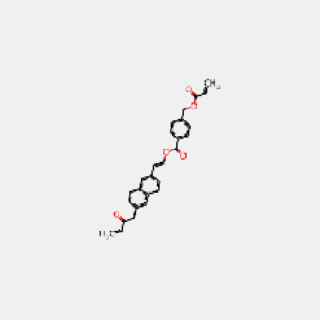 C=CC(=O)Cc1ccc2cc(/C=C/OC(=O)c3ccc(COC(=O)C=C)cc3)ccc2c1